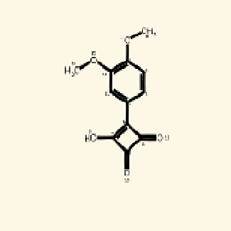 COc1ccc(-c2c(O)c(=O)c2=O)cc1OC